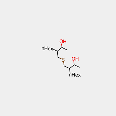 CCCCCCC(CSCC(CCCCCC)C(C)O)C(C)O